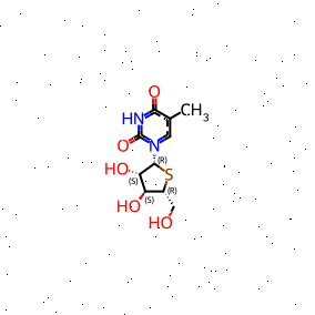 Cc1cn([C@@H]2S[C@H](CO)[C@@H](O)[C@@H]2O)c(=O)[nH]c1=O